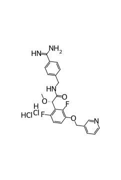 CO[C@H](C(=O)NCc1ccc(C(=N)N)cc1)c1c(F)ccc(OCc2cccnc2)c1F.Cl.Cl